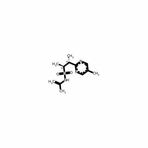 C=C(C)NS(=O)(=O)[C@@H](C)[C@H](C)c1ncc(C)cn1